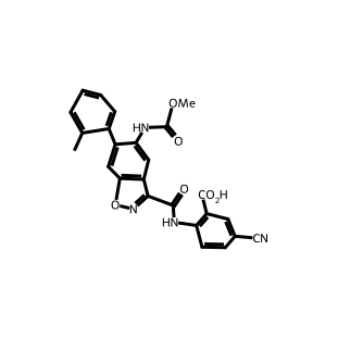 COC(=O)Nc1cc2c(C(=O)Nc3ccc(C#N)cc3C(=O)O)noc2cc1-c1ccccc1C